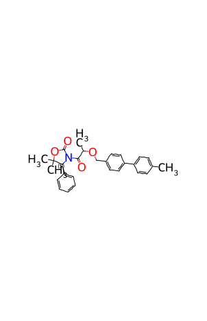 Cc1ccc(-c2ccc(COC(C)C(=O)N3C(=O)OC(C)(C)[C@@H]3c3ccccc3)cc2)cc1